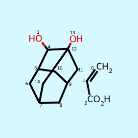 C=CC(=O)O.OC1C2CC3CC(C2)CC1(O)C3